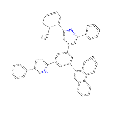 CC1CC=CC=C1c1cc(-c2cc(-c3ccc(-c4ccccc4)cn3)cc(-c3cc4ccccc4c4ccccc34)c2)cc(-c2ccccc2)n1